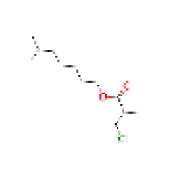 CC(C)CCCCCOC(=O)C(C)CCl